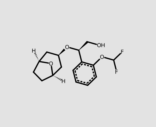 OC[C@H](O[C@H]1C[C@H]2CC[C@@H](C1)O2)c1ccccc1OC(F)F